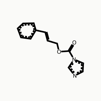 O=C(OC/C=C/c1ccccc1)n1ccnc1